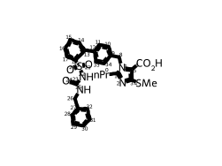 CCCc1nc(SC)c(C(=O)O)n1Cc1ccc(-c2ccccc2S(=O)(=O)NC(=O)NCc2ccccc2)cc1